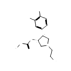 CC(C)(C)OC(=O)N[C@@H]1CN(CCO)C[C@H]1c1ccc(F)c(F)c1